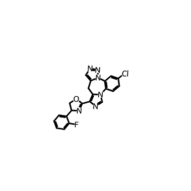 Fc1ccccc1C1COC(c2ncn3c2Cc2cnnn2-c2cc(Cl)ccc2-3)=N1